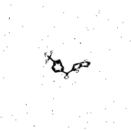 O=C(c1ccc(C(F)(F)F)cc1)c1cc2sccc2s1